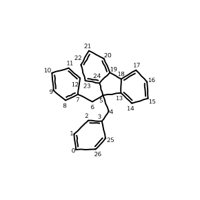 c1ccc(CC2(Cc3ccccc3)c3ccccc3-c3ccccc32)cc1